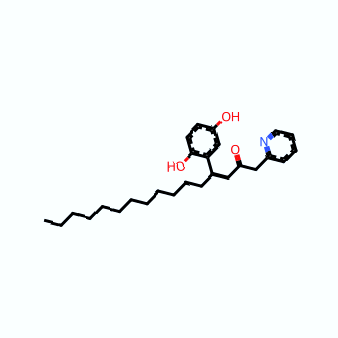 CCCCCCCCCCCCC(CC(=O)Cc1ccccn1)c1cc(O)ccc1O